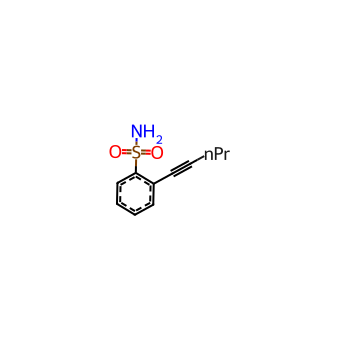 CCCC#Cc1ccccc1S(N)(=O)=O